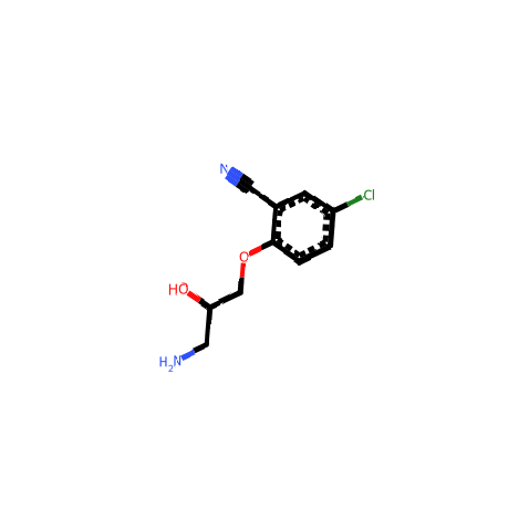 N#Cc1cc(Cl)ccc1OCC(O)CN